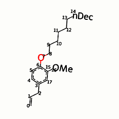 C=CCc1ccc(OCCCCCCCCCCCCCCCC)c(OC)c1